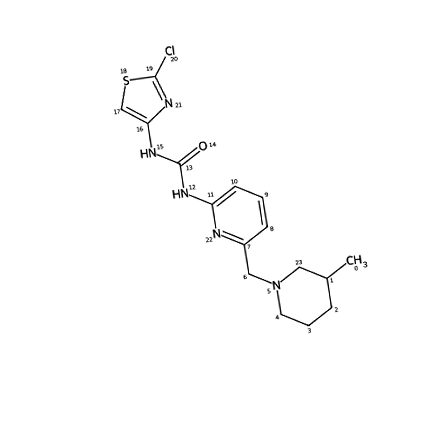 CC1CCCN(Cc2cccc(NC(=O)Nc3csc(Cl)n3)n2)C1